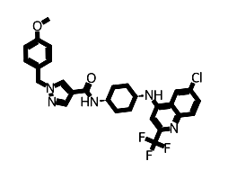 COc1ccc(Cn2cc(C(=O)N[C@H]3CC[C@@H](Nc4cc(C(F)(F)F)nc5ccc(Cl)cc45)CC3)cn2)cc1